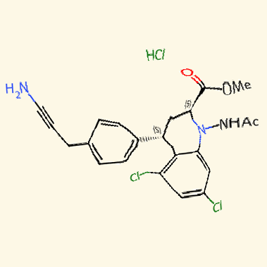 COC(=O)[C@@H]1C[C@@H](c2ccc(CC#CN)cc2)c2c(Cl)cc(Cl)cc2N1NC(C)=O.Cl